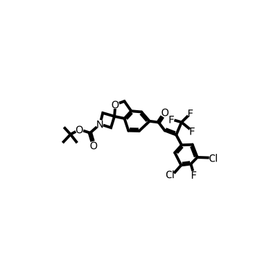 CC(C)(C)OC(=O)N1CC2(C1)OCc1cc(C(=O)C=C(c3cc(Cl)c(F)c(Cl)c3)C(F)(F)F)ccc12